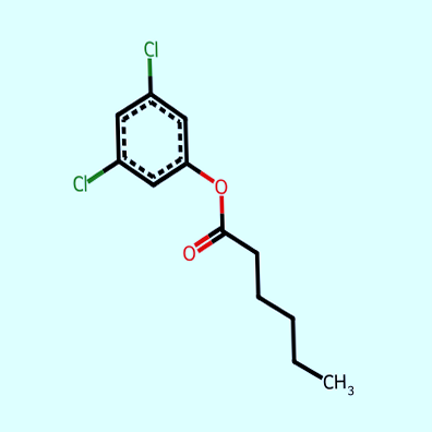 CCCCCC(=O)Oc1cc(Cl)cc(Cl)c1